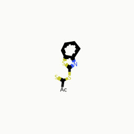 [CH2]C(=O)C(=S)Sc1nc2ccccc2s1